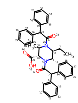 CC[C@H]1CN(C(=O)C(c2ccccc2)c2ccccc2)[C@H](C(=O)O)[C@@H](C)N1C(=O)C(c1ccccc1)c1ccccc1